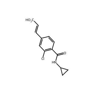 O=C(O)/C=C/c1ccc(C(=O)NC2CC2)c(Cl)c1